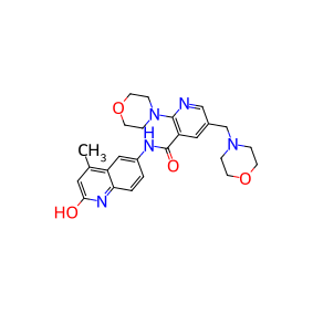 Cc1cc(O)nc2ccc(NC(=O)c3cc(CN4CCOCC4)cnc3N3CCOCC3)cc12